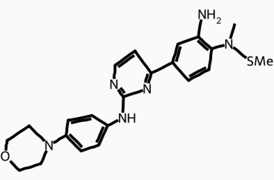 CSN(C)c1ccc(-c2ccnc(Nc3ccc(N4CCOCC4)cc3)n2)cc1N